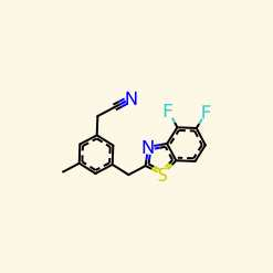 Cc1cc(CC#N)cc(Cc2nc3c(F)c(F)ccc3s2)c1